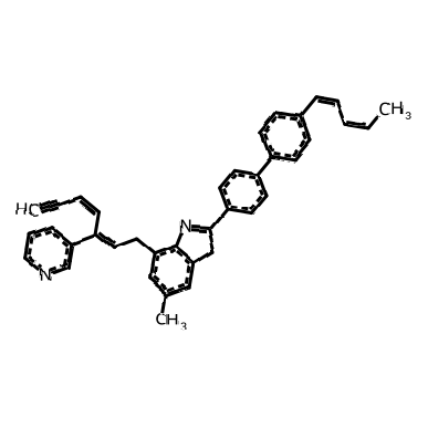 C#C/C=C\C(=C/Cc1cc(C)cc2c1N=C(c1ccc(-c3ccc(/C=C\C=C/C)cc3)cc1)C2)c1cccnc1